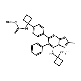 CCOC(=O)C1(Nc2c(-c3ccccc3)c(-c3ccc(C4(NC(=O)OC(C)(C)C)CCC4)cc3)nc3nc(C)nn23)CCC1